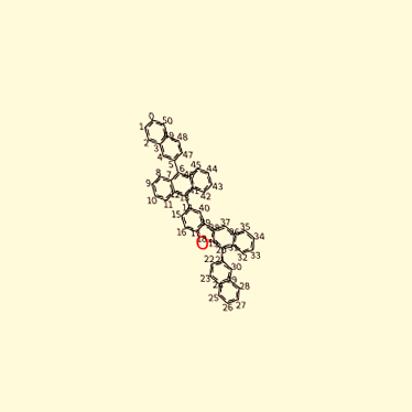 c1ccc2cc(-c3c4ccccc4c(-c4ccc5oc6c(-c7ccc8ccccc8c7)c7ccccc7cc6c5c4)c4ccccc34)ccc2c1